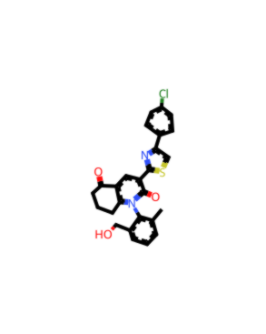 Cc1cccc(CO)c1-n1c2c(cc(-c3nc(-c4ccc(Cl)cc4)cs3)c1=O)C(=O)CCC2